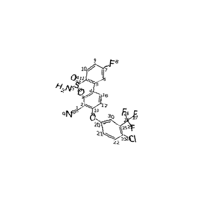 N#Cc1cc(-c2cc(F)ccc2S(N)(=O)=O)ccc1Oc1ccc(Cl)c(C(F)(F)F)c1